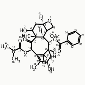 CC(=O)O[C@@]12CO[C@@H]1C[C@H](O)[C@@]1(C)C(=O)[C@H](OC(=O)N(C)C)C3=C(C)[C@@H](O)C[C@@](O)([C@@H](OC(=O)c4ccccc4)[C@H]21)C3(C)C